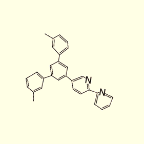 Cc1cccc(-c2cc(-c3ccc(-c4ccccn4)nc3)cc(-c3cccc(C)c3)c2)c1